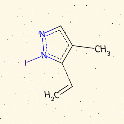 C=Cc1c(C)cnn1I